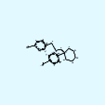 Fc1ccc(CCCC2(c3ccc(I)cc3)CCCCC2)cc1